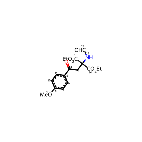 CCOC(=O)C(CC(=O)c1ccc(OC)cc1)(NC=O)C(=O)OCC